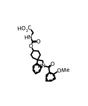 COc1ccccc1C(=O)NCC1(c2ccccc2)CCC(OC(=O)NCC(=O)O)CC1